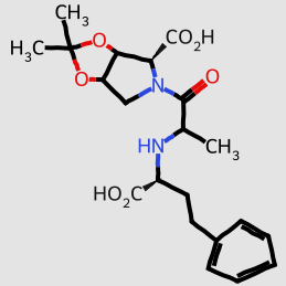 CC(N[C@@H](CCc1ccccc1)C(=O)O)C(=O)N1CC2OC(C)(C)OC2[C@H]1C(=O)O